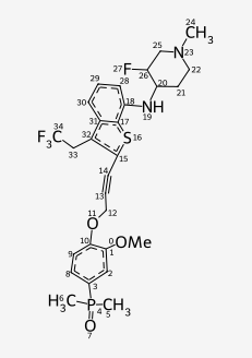 COc1cc(P(C)(C)=O)ccc1OCC#Cc1sc2c(NC3CCN(C)CC3F)cccc2c1CC(F)(F)F